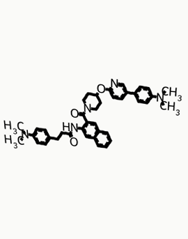 CN(C)c1ccc(CCC(=O)Nc2cc3ccccc3cc2C(=O)N2CCC(Oc3ccc(-c4ccc(N(C)C)cc4)cn3)CC2)cc1